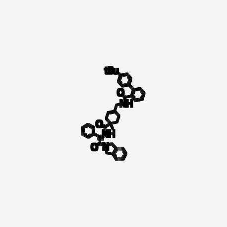 CC1(C(=O)N[C@H](C(=O)N2Cc3ccccc3C2)c2ccccc2)CC=C(CNC(=O)c2ccccc2-c2ccc(C(C)(C)C)cc2)CC1